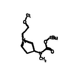 CCOCCN1CCC(N(C)C(=O)OC(C)(C)C)C1